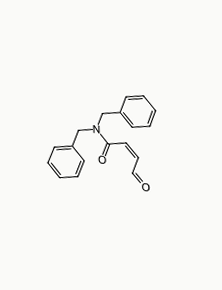 O=C/C=C\C(=O)N(Cc1ccccc1)Cc1ccccc1